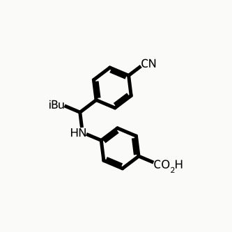 CCC(C)C(Nc1ccc(C(=O)O)cc1)c1ccc(C#N)cc1